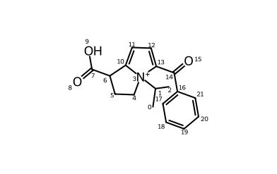 CC(C)[N+]12CCC(C(=O)O)C1=CC=C2C(=O)c1ccccc1